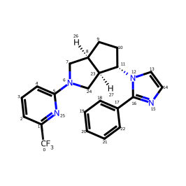 FC(F)(F)c1cccc(N2C[C@H]3CC[C@H](n4ccnc4-c4ccccc4)[C@H]3C2)n1